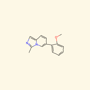 COc1ccccc1-c1ccc2cnc(C)n2c1